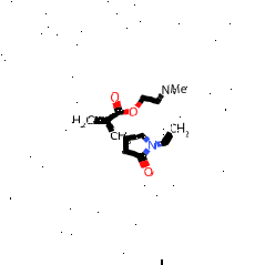 C=C(C)C(=O)OCCNC.C=CN1CCCC1=O